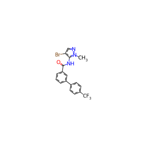 Cn1ncc(Br)c1NC(=O)c1cccc(-c2ccc(C(F)(F)F)cc2)c1